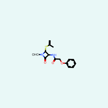 C=C(C)SC1C(NC(=O)COc2ccccc2)C(=O)N1C=O